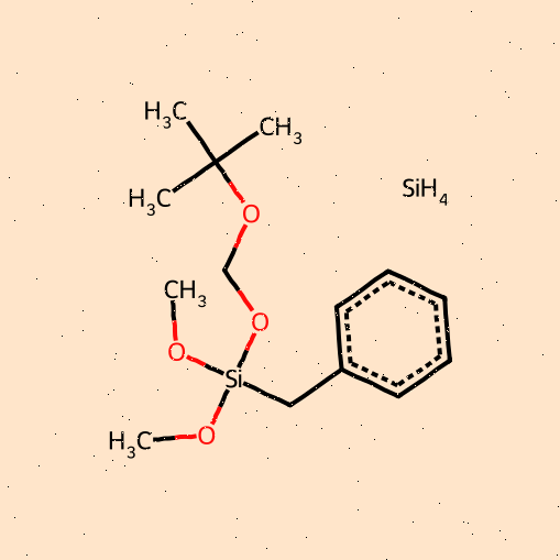 CO[Si](Cc1ccccc1)(OC)OCOC(C)(C)C.[SiH4]